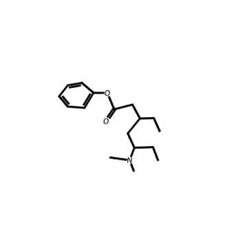 CCC(CC(=O)Oc1ccccc1)CC(CC)N(C)C